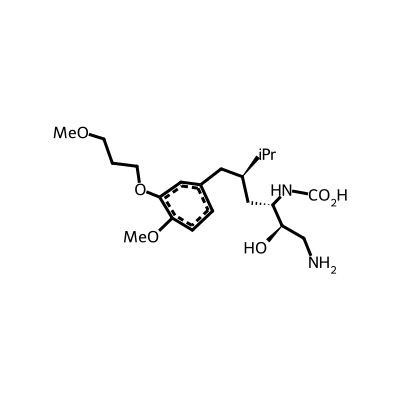 COCCCOc1cc(C[C@H](C[C@H](NC(=O)O)[C@H](O)CN)C(C)C)ccc1OC